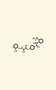 Nc1ccccc1NC(=O)c1ccc(CNC(=O)OCc2cccnc2Cl)cc1